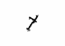 CCCC(CCCCCC(C)C)(CCCCCC(C)C)OC(=O)CCCCCCCCCCC(=O)O